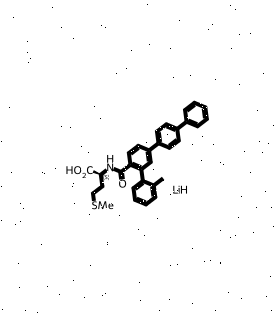 CSCC[C@H](NC(=O)c1ccc(-c2ccc(-c3ccccc3)cc2)cc1-c1ccccc1C)C(=O)O.[LiH]